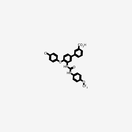 O=C(Nc1ccc(OC(F)(F)F)cc1)Nc1cc(-c2cccc(C(=O)O)c2)ccc1Oc1ccc(Cl)cc1